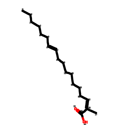 CCCCCCC=CCCCCCCCC=C(C)C(=O)O